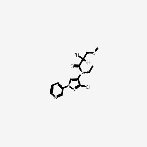 [2H]C([2H])(CSC)C(=O)N(CC)c1cn(-c2cccnc2)nc1Cl